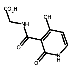 O=C(O)CNC(=O)c1c(O)cc[nH]c1=O